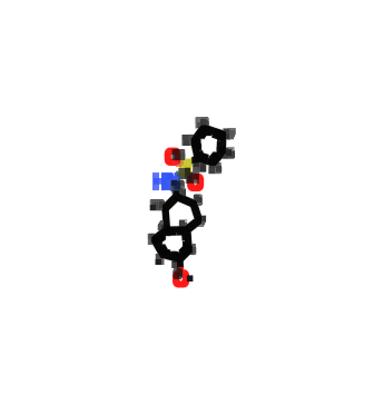 [O]c1ccc2c(c1)CCC(NS(=O)(=O)c1ccccc1)C2